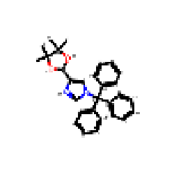 CC1(C)OB(c2cn(C(c3ccccc3)(c3ccccc3)c3ccccc3)cn2)OC1(C)C